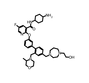 CC1COCCN1Cc1cc(CN2CCCN(CCO)CC2)ccc1-c1cccc(Oc2ncc(F)cc2C(=O)NC2CCC(N)CC2)c1